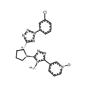 Cn1c(-c2ccc[n+]([O-])c2)nnc1N1CCC[C@@H]1c1nnn(-c2cccc(Cl)c2)n1